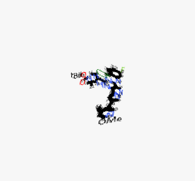 COc1cc(C)c(-c2cc3c(NCC4CCN(C(=O)OC(C)(C)C)C(C)(C)C4)c(/C(N)=N/c4cc(F)ccc4Cl)cnn3c2)cn1